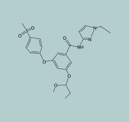 CCC(OC)Oc1cc(Oc2ccc(S(C)(=O)=O)cc2)cc(C(=O)Nc2ccn(CC)n2)c1